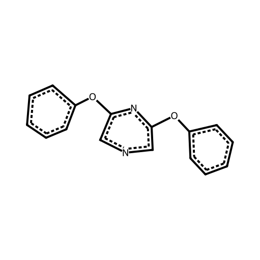 c1ccc(Oc2cncc(Oc3ccccc3)n2)cc1